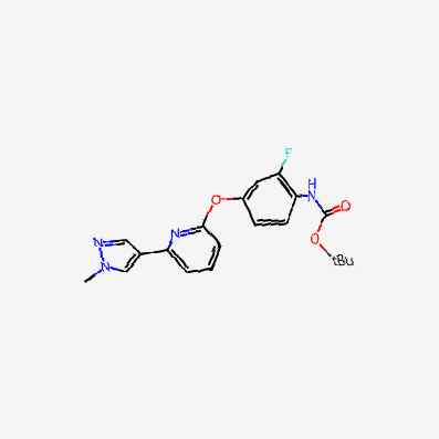 Cn1cc(-c2cccc(Oc3ccc(NC(=O)OC(C)(C)C)c(F)c3)n2)cn1